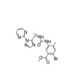 COC(=O)c1cc(NC(=O)N[C@@H](C)c2ncnn2-c2ncccn2)c(C)cc1Br